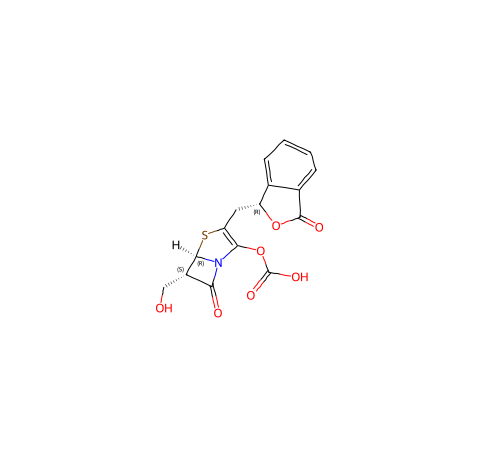 O=C(O)OC1=C(C[C@H]2OC(=O)c3ccccc32)S[C@@H]2[C@@H](CO)C(=O)N12